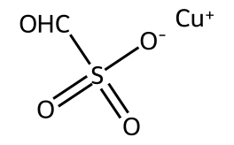 O=CS(=O)(=O)[O-].[Cu+]